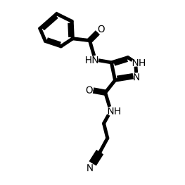 N#CCCNC(=O)c1n[nH]cc1NC(=O)c1ccccc1